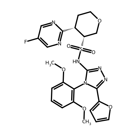 COc1cccc(OC)c1-n1c(NS(=O)(=O)[C@H]2COCC[C@H]2c2ncc(F)cn2)nnc1-c1ccco1